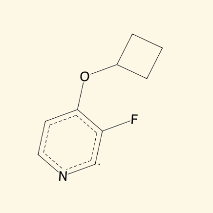 Fc1[c]nccc1OC1CCC1